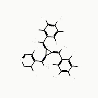 N#CC(=C1C(=C(\C#N)C2=C(F)C=NCC2C(F)(F)F)/C1=C(\C#N)c1c(F)c(F)c(C#N)c(C#N)c1F)c1c(F)c(F)c(C#N)c(C#N)c1F